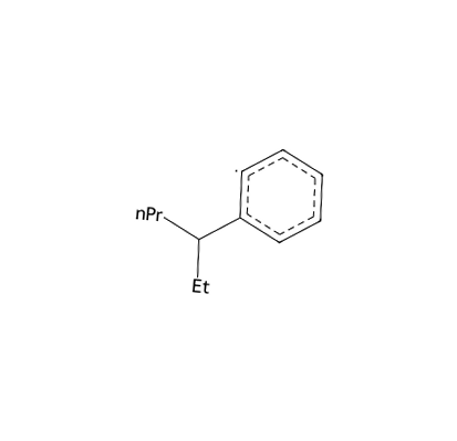 CCCC(CC)c1[c]cccc1